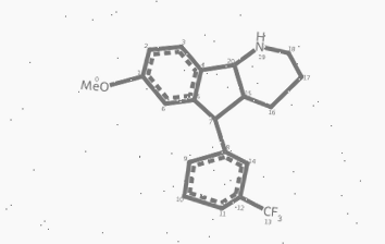 COc1ccc2c(c1)C(c1cccc(C(F)(F)F)c1)C1CCCNC21